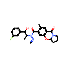 C=NN(C(=O)c1cc2c(cc1C)C(=O)N1CCCC1O2)C(C)C(O)c1cccc(F)c1